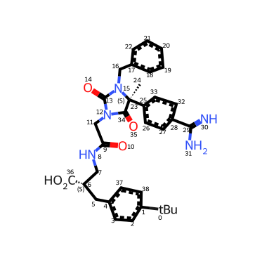 CC(C)(C)c1ccc(C[C@@H](CNC(=O)CN2C(=O)N(Cc3ccccc3)[C@@](C)(c3ccc(C(=N)N)cc3)C2=O)C(=O)O)cc1